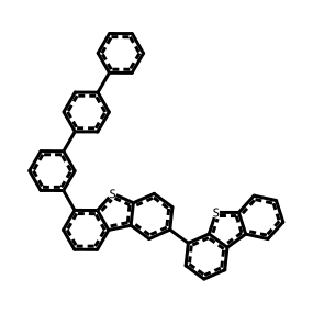 c1ccc(-c2ccc(-c3cccc(-c4cccc5c4sc4ccc(-c6cccc7c6sc6ccccc67)cc45)c3)cc2)cc1